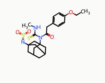 CCOc1ccc(CC(=O)N(C(=S)NC)C23CC4CC(CC(N=S(=O)=O)(C4)C2)C3)cc1